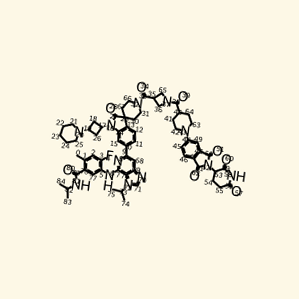 Cc1cc(F)c(Nc2nc(-c3ccc4c(c3)N([C@H]3C[C@@H](N5CCCCC5)C3)C(=O)C43CCN(C(=O)C4CN(C(=O)C5CCN(c6ccc7c(c6)C(=O)N(C6CCC(=O)NC6=O)C7=O)CC5)C4)CC3)cc3ncn(C(C)C)c23)cc1C(=O)NC(C)C